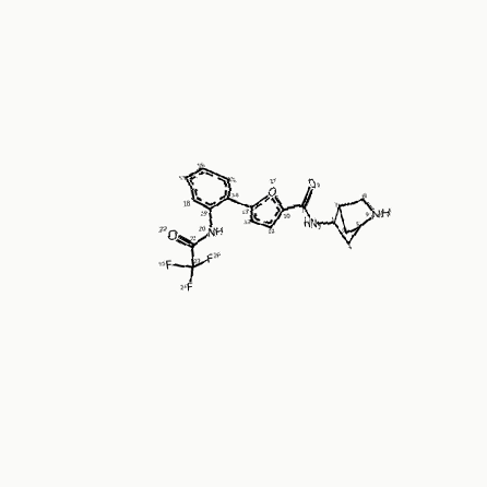 O=C(NC1CC2CC1CN2)c1ccc(-c2ccccc2NC(=O)C(F)(F)F)o1